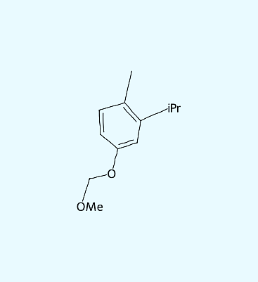 COCOc1ccc(C)c(C(C)C)c1